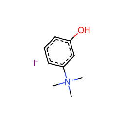 C[N+](C)(C)c1cccc(O)c1.[I-]